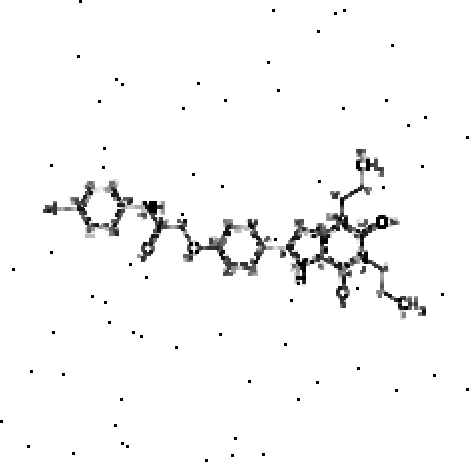 CCCn1c(=O)c2[nH]c(-c3ccc(OCC(=O)Nc4ccc(I)cc4)cc3)cc2n(CCC)c1=O